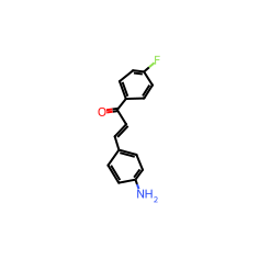 Nc1ccc(C=CC(=O)c2ccc(F)cc2)cc1